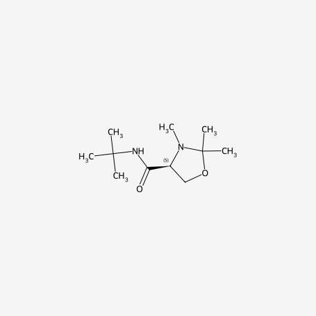 CN1[C@H](C(=O)NC(C)(C)C)COC1(C)C